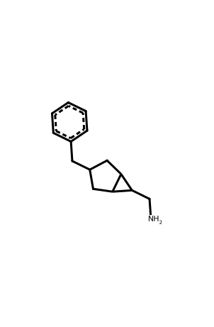 NCC1C2CC(Cc3ccccc3)CC12